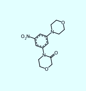 O=C1COCCN1c1cc(N2CCOCC2)cc([N+](=O)[O-])c1